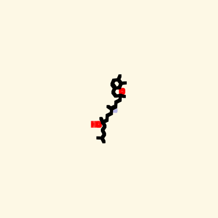 C/C(=C\CCC1(C)CCC2=CCC(C)C(C)C2O1)CCCC(C)(O)CCCC(C)C